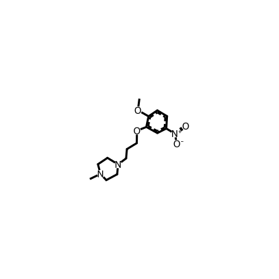 COc1ccc([N+](=O)[O-])cc1OCCCN1CCN(C)CC1